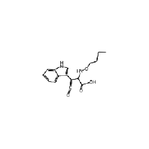 CCCCONC(C(=O)O)C(=C=O)c1c[nH]c2ccccc12